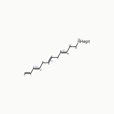 C=C/C=C/C/C=C/C/C=C/CCCCCCCCC